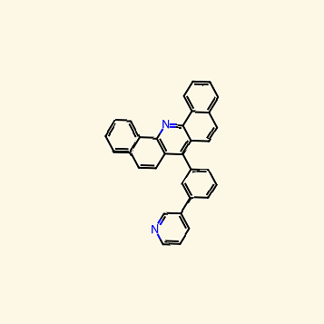 c1cncc(-c2cccc(-c3c4ccc5ccccc5c4nc4c3ccc3ccccc34)c2)c1